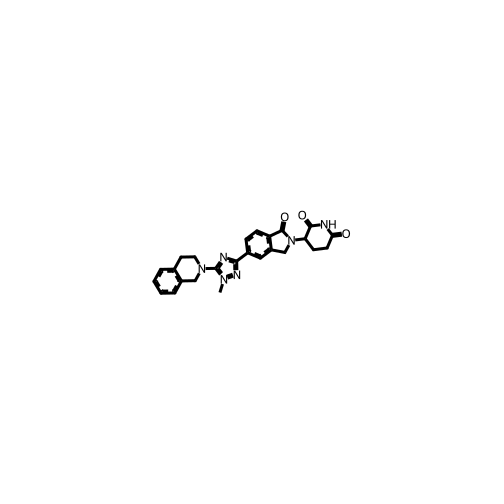 Cn1nc(-c2ccc3c(c2)CN(C2CCC(=O)NC2=O)C3=O)nc1N1CCc2ccccc2C1